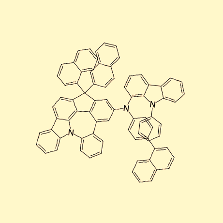 c1ccc(-n2c3ccccc3c3cccc(N(c4ccc(-c5cccc6ccccc56)cc4)c4cc5c6c(c4)C(c4ccc7ccccc7c4)(c4cccc7ccccc47)c4ccc7c8ccccc8n(c7c4-6)-c4ccccc4-5)c32)cc1